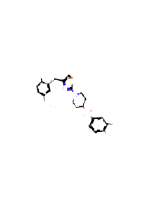 Cc1ccc(C)c(Cc2csc(N3CCC(S(=O)(=O)c4ccc(Cl)c(Cl)c4)CC3)n2)c1